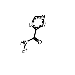 CCNC(=O)c1nnco1